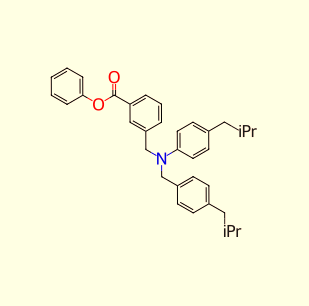 CC(C)Cc1ccc(CN(Cc2cccc(C(=O)Oc3ccccc3)c2)c2ccc(CC(C)C)cc2)cc1